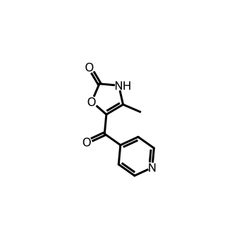 Cc1[nH]c(=O)oc1C(=O)c1ccncc1